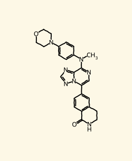 CN(c1ccc(N2CCOCC2)cc1)c1ncc(-c2ccc3c(c2)CCNC3=O)n2ncnc12